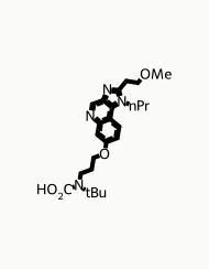 CCCn1c(CCOC)nc2cnc3cc(OCCCN(C(=O)O)C(C)(C)C)ccc3c21